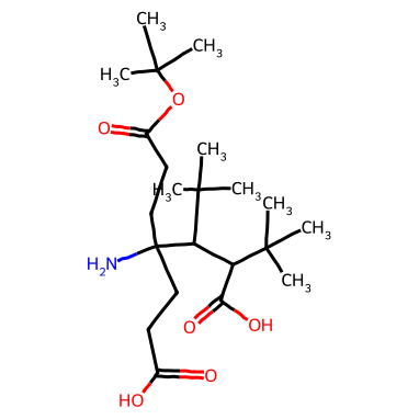 CC(C)(C)OC(=O)CCC(N)(CCC(=O)O)C(C(C(=O)O)C(C)(C)C)C(C)(C)C